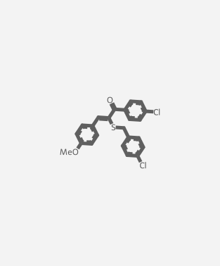 COc1ccc(C=C(SCc2ccc(Cl)cc2)C(=O)c2ccc(Cl)cc2)cc1